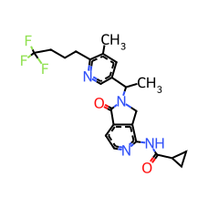 Cc1cc(C(C)N2Cc3c(ccnc3NC(=O)C3CC3)C2=O)cnc1CCCC(F)(F)F